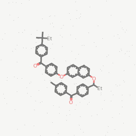 CCC(Oc1ccc2ccc(Oc3ccc(C(=O)c4ccc(C(C)(C)CC)cc4)cc3)cc2c1)c1ccc(C(=O)c2ccc(C)cc2)cc1